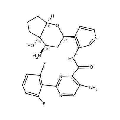 Nc1cnc(-c2c(F)cccc2F)nc1C(=O)Nc1cnccc1[C@H]1C[C@@H](N)[C@@]2(O)CCC[C@H]2O1